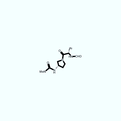 CNC(=O)N[C@H]1CCN(C(=O)[C@@H](NC=O)C(C)C)C1